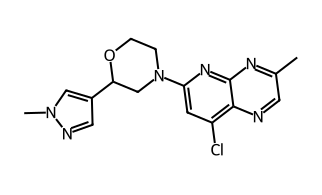 Cc1cnc2c(Cl)cc(N3CCOC(c4cnn(C)c4)C3)nc2n1